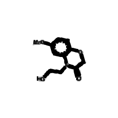 COc1ccc2c(c1)N(CCO)C(=O)CO2